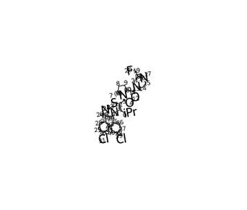 CC(C)C1=C(C(=O)N2[C@H](C)CC[C@H]2C(=O)N2CCN(C)[C@H](CF)C2)SC2=N[C@@](C)(c3ccc(Cl)cc3)[C@@H](c3ccc(Cl)cc3)N21